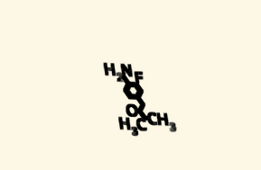 CC(C)C(=O)Cc1ccc(CN)c(F)c1